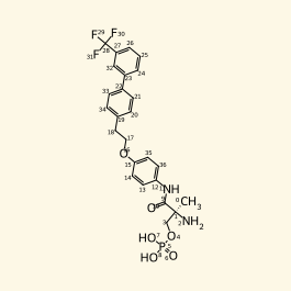 C[C@](N)(COP(=O)(O)O)C(=O)Nc1ccc(OCCc2ccc(-c3cccc(C(F)(F)F)c3)cc2)cc1